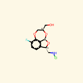 OC[C@@H]1COc2c(F)ccc3c2B(O1)O[C@@H]3CNCl